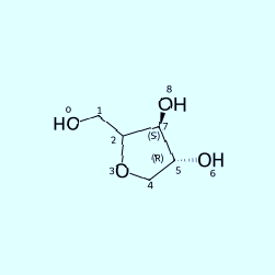 OCC1OC[C@@H](O)[C@@H]1O